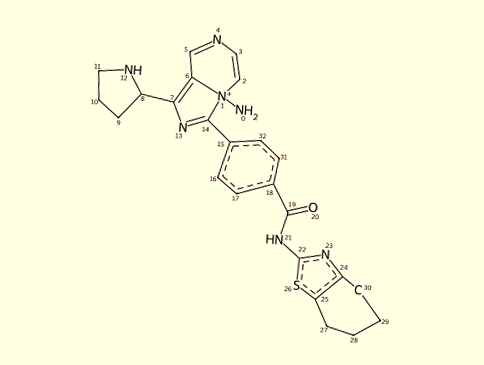 N[N+]12C=CN=CC1=C(C1CCCN1)N=C2c1ccc(C(=O)Nc2nc3c(s2)CCCC3)cc1